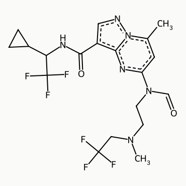 Cc1cc(N(C=O)CCN(C)CC(F)(F)F)nc2c(C(=O)NC(C3CC3)C(F)(F)F)cnn12